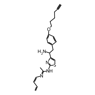 C#CCCCCOc1ccc(CC(N)c2csc(N/C(C)=N/C=C\C=C)n2)cc1